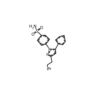 CC(C)CCc1cc(-c2ccccc2)n(-c2ccc(S(N)(=O)=O)cc2)n1